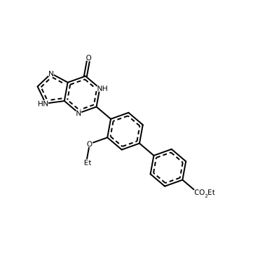 CCOC(=O)c1ccc(-c2ccc(-c3nc4[nH]cnc4c(=O)[nH]3)c(OCC)c2)cc1